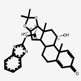 CC1(C)O[C@@H]2CC3C4CCC5=CC(=O)C=CC5(C)C4[C@@H](O)CC3(C)[C@]2(C(=O)Sc2nc3ccccc3s2)O1